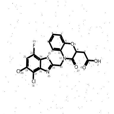 O=C(O)CC1Oc2ccccc2N(Cc2nc3c(Cl)c(Cl)cc(F)c3s2)C1=O